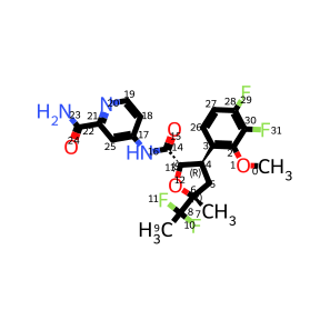 COc1c([C@H]2C[C@](C)(C(C)(F)F)O[C@@H]2C(=O)Nc2ccnc(C(N)=O)c2)ccc(F)c1F